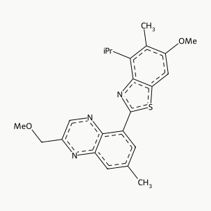 COCc1cnc2c(-c3nc4c(C(C)C)c(C)c(OC)cc4s3)cc(C)cc2n1